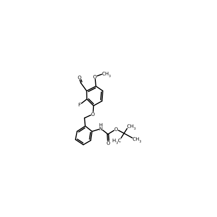 COc1ccc(OCc2ccccc2NC(=O)OC(C)(C)C)c(F)c1C=O